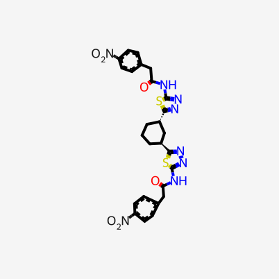 O=C(Cc1ccc([N+](=O)[O-])cc1)Nc1nnc([C@H]2CCC[C@H](c3nnc(NC(=O)Cc4ccc([N+](=O)[O-])cc4)s3)C2)s1